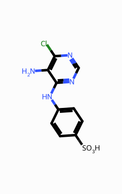 Nc1c(Cl)ncnc1Nc1ccc(S(=O)(=O)O)cc1